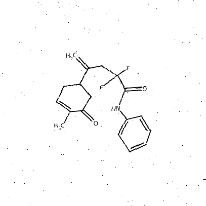 C=C(CC(F)(F)C(=O)Nc1ccccc1)C1CC=C(C)C(=O)C1